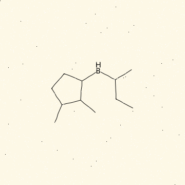 CCC(C)BC1CCC(C)C1C